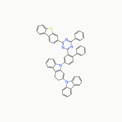 C1=C(n2c3ccccc3c3ccccc32)CCc2c1n(-c1ccc(-c3ccccc3)c(-c3nc(-c4ccccc4)nc(-c4ccc5c(c4)sc4ccccc45)n3)c1)c1ccccc21